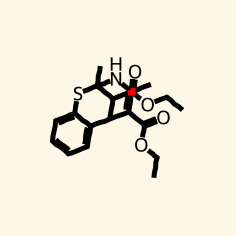 CCOC(=O)C1=C(C)NC2(C)Sc3ccccc3C1C2C(=O)OCC